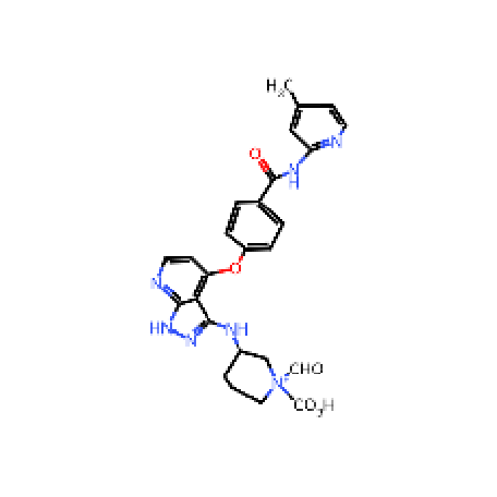 Cc1ccnc(NC(=O)c2ccc(Oc3ccnc4[nH]nc(N[C@@H]5CCC[N+](C=O)(C(=O)O)C5)c34)cc2)c1